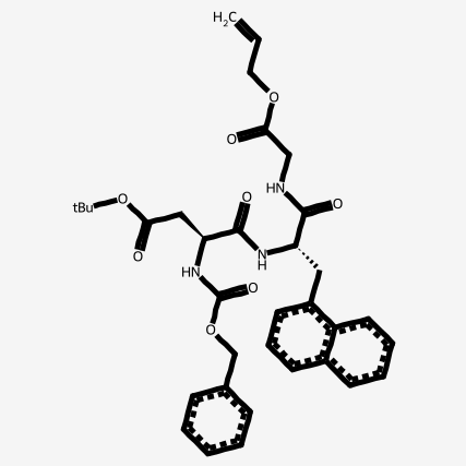 C=CCOC(=O)CNC(=O)[C@H](Cc1cccc2ccccc12)NC(=O)[C@H](CC(=O)OC(C)(C)C)NC(=O)OCc1ccccc1